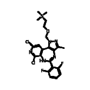 Cc1nn(COCC[Si](C)(C)C)c2c1N=C(c1c(F)cccc1F)Nc1c-2cc(Cl)nc1Cl